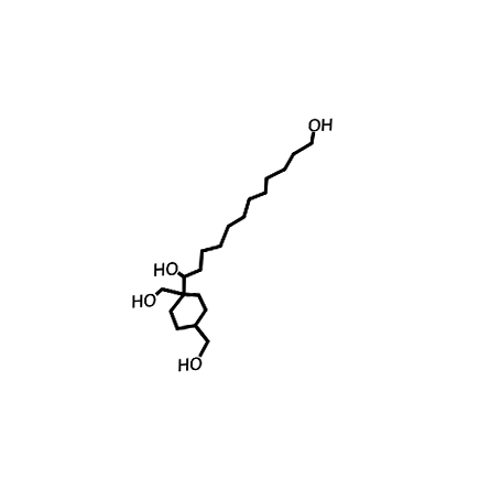 OCCCCCCCCCCCC(O)C1(CO)CCC(CO)CC1